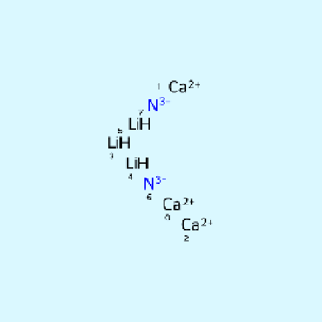 [Ca+2].[Ca+2].[Ca+2].[LiH].[LiH].[LiH].[N-3].[N-3]